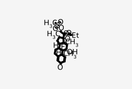 CCC(=O)O[C@]1(C(=O)COS(C)(=O)=O)C(C)C[C@H]2[C@@H]3CCC4=CC(=O)C=C[C@]4(C)[C@@]3(F)C(O)C[C@@]21C